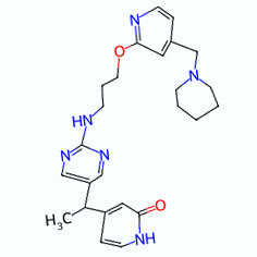 CC(c1cnc(NCCCOc2cc(CN3CCCCC3)ccn2)nc1)c1cc[nH]c(=O)c1